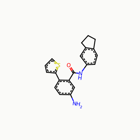 Nc1ccc(-c2cccs2)c(C(=O)Nc2ccc3c(c2)CCC3)c1